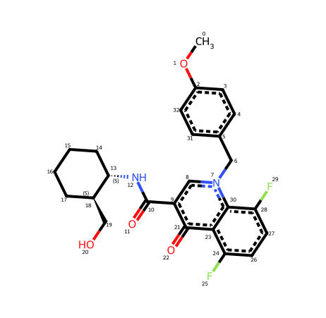 COc1ccc(Cn2cc(C(=O)N[C@H]3CCCC[C@@H]3CO)c(=O)c3c(F)ccc(F)c32)cc1